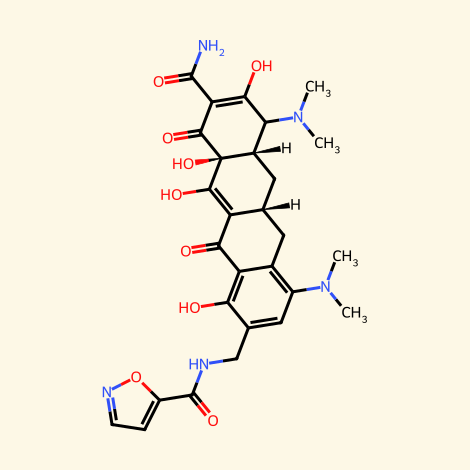 CN(C)c1cc(CNC(=O)c2ccno2)c(O)c2c1C[C@H]1C[C@H]3C(N(C)C)C(O)=C(C(N)=O)C(=O)[C@@]3(O)C(O)=C1C2=O